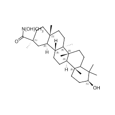 CN(O)C(=O)[C@@]1(C)CC[C@]2(C)CC[C@]3(C)[C@H](CC[C@@H]4[C@@]5(C)CC[C@H](O)C(C)(C)C5CC[C@]43C)[C@H]2C1